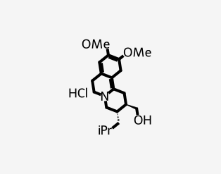 COC1=C(OC)CC2=C3C[C@@H](CO)[C@H](CC(C)C)CN3CCC2=C1.Cl